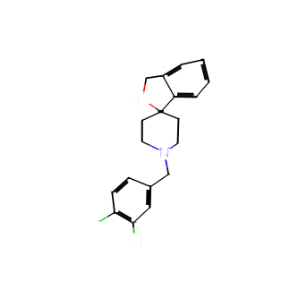 Clc1ccc(CN2CCC3(CC2)OCc2ccccc23)cc1Cl